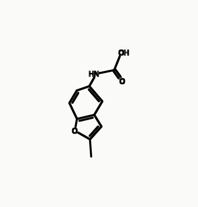 Cc1cc2cc(NC(=O)O)ccc2o1